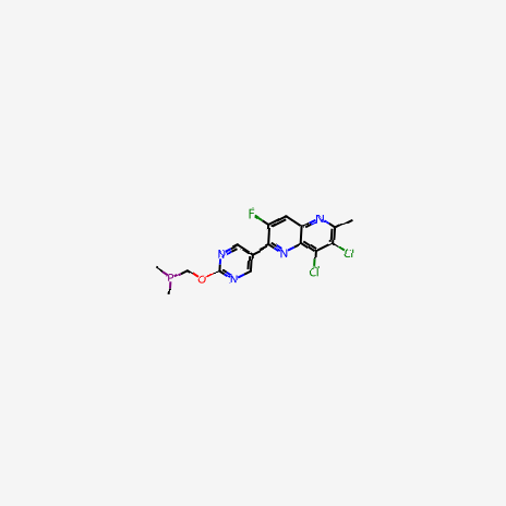 Cc1nc2cc(F)c(-c3cnc(OCP(C)C)nc3)nc2c(Cl)c1Cl